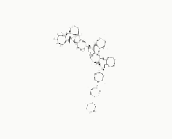 c1ccc(-c2ccc(-c3ccc(-n4c5ccccc5c5c6c7ccccc7n(-c7ccc8c(c7)c7cccc9c%10ccccc%10n8c97)c6ccc54)cc3)cc2)cc1